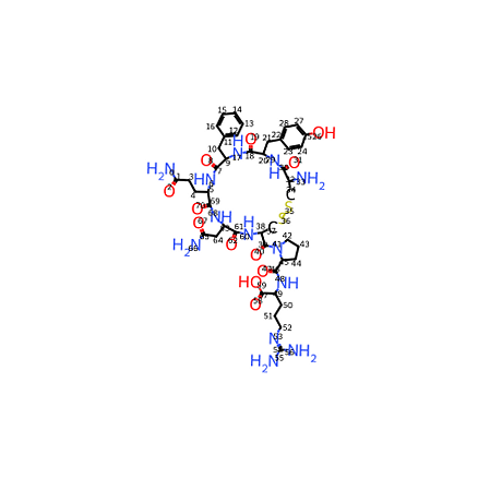 NC(=O)CCC1NC(=O)C(Cc2ccccc2)NC(=O)C(Cc2ccc(O)cc2)NC(=O)C(N)CSSCC(C(=O)N2CCCC2C(=O)NC(CCCN=C(N)N)C(=O)O)NC(=O)C(CC(N)=O)NC1=O